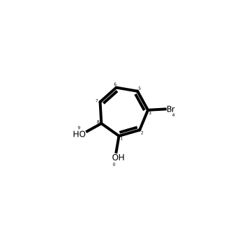 OC1=CC(Br)=CC=CC1O